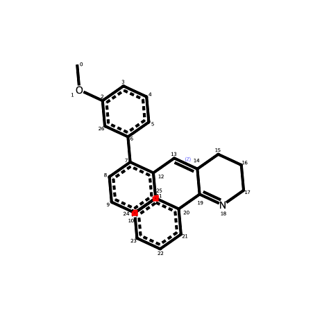 COc1cccc(-c2ccccc2/C=C2/CCCN=C2c2cccnc2)c1